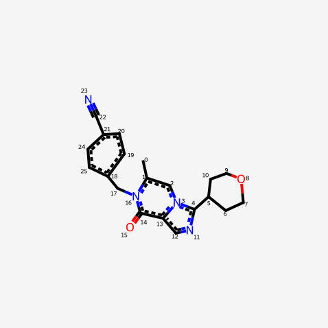 Cc1cn2c(C3CCOCC3)ncc2c(=O)n1Cc1ccc(C#N)cc1